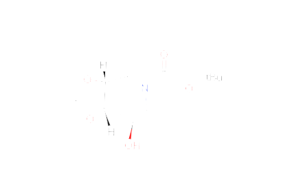 CC(C)(C)OC(=O)N1C[C@@H](O)[C@@H]2OC(C)(C)O[C@@H]2C1